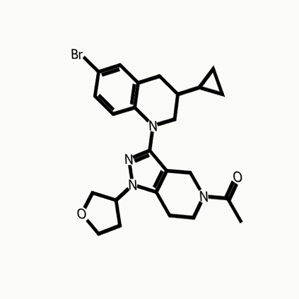 CC(=O)N1CCc2c(c(N3CC(C4CC4)Cc4cc(Br)ccc43)nn2C2CCOC2)C1